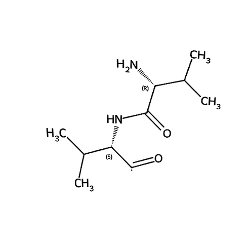 CC(C)[C@@H]([C]=O)NC(=O)[C@H](N)C(C)C